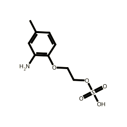 Cc1ccc(OCCOS(=O)(=O)O)c(N)c1